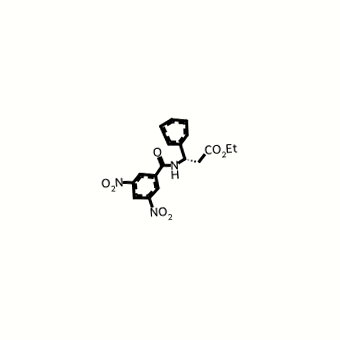 CCOC(=O)C[C@H](NC(=O)c1cc([N+](=O)[O-])cc([N+](=O)[O-])c1)c1ccccc1